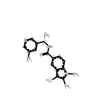 Cc1c(C)n(C)c2ccc(C(=O)N[C@@H](C)c3cncc(C(F)(F)F)c3)cc12